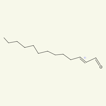 CCCCCCCCCC/C=C/C=O